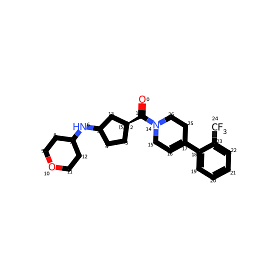 O=C([C@H]1CCC(NC2CCOCC2)C1)N1CC=C(c2ccccc2C(F)(F)F)CC1